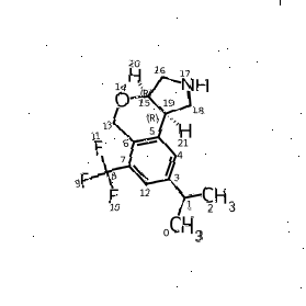 CC(C)c1cc2c(c(C(F)(F)F)c1)CO[C@H]1CNC[C@@H]21